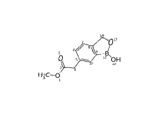 COC(=O)Cc1ccc2c(c1)B(O)OC2